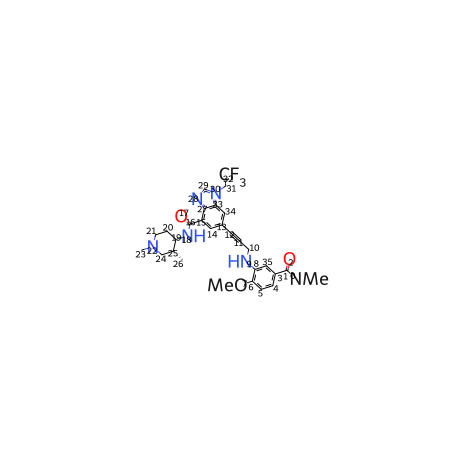 CNC(=O)c1ccc(OC)c(NCC#Cc2cc(C(=O)N[C@@H]3CCN(C)C[C@H]3C)c3ncn(CC(F)(F)F)c3c2)c1